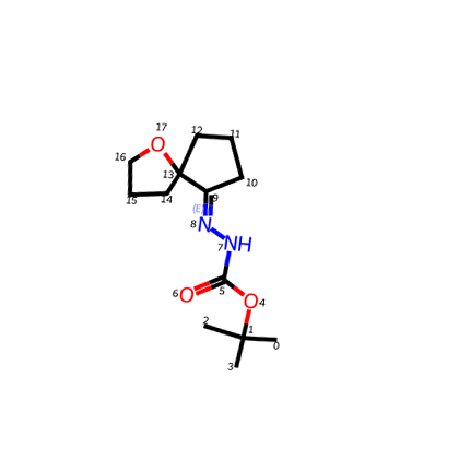 CC(C)(C)OC(=O)N/N=C1\CCCC12CCCO2